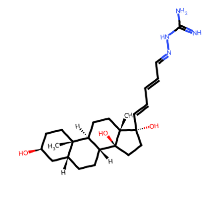 C[C@]12CC[C@H](O)C[C@H]1CC[C@@H]1[C@@H]2CC[C@]2(C)[C@@](O)(/C=C/C=C/C=N/NC(=N)N)CC[C@]12O